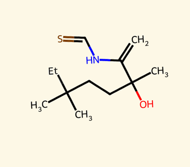 C=C(NC=S)C(C)(O)CCC(C)(C)CC